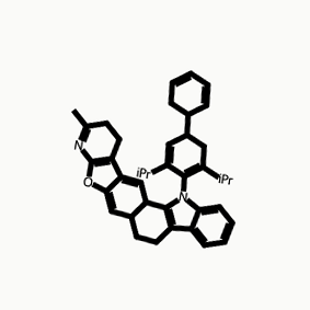 CC1=Nc2oc3c(c2CC1)=CC1c2c(c4ccccc4n2C2=C(C(C)C)CC(C4C=CC=CC4)C=C2C(C)C)CCC1C=3